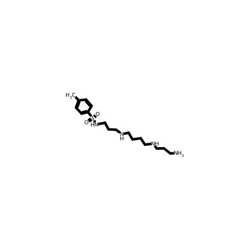 Cc1ccc(S(=O)(=O)NCCCNCCCCNCCCN)cc1